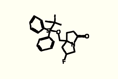 CC(C)(C)[Si](OCC12CCC(=O)N1CC(F)C2)(c1ccccc1)c1ccccc1